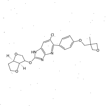 CC1(COc2ccc(-c3nc4nc(OC5CO[C@@H]6CCO[C@H]56)[nH]c4cc3Cl)cc2)COC1